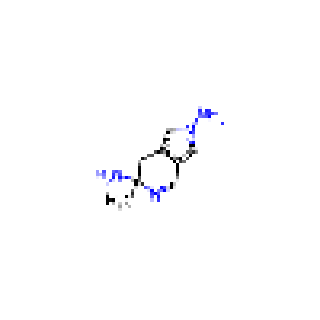 CC1(N)Cc2cn(N)cc2C=N1